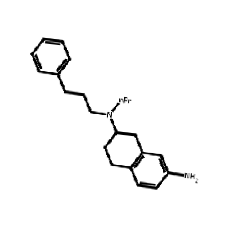 CCCN(CCCc1ccccc1)C1CCc2ccc(N)cc2C1